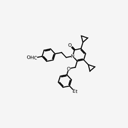 CCc1cccc(OCc2c(C3CC3)cc(C3CC3)c(=O)n2CCc2ccc(C=O)cc2)c1